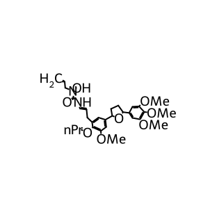 C=CCN(O)C(=O)NC=CCc1cc(C2CCC(c3cc(OC)c(OC)c(OC)c3)O2)cc(OC)c1OCCC